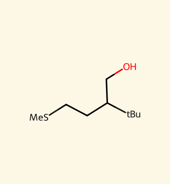 CSCCC(CO)C(C)(C)C